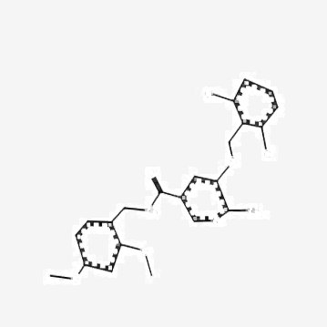 COc1ccc(CNC(=O)c2cnc(N)c(OCc3c(Cl)cccc3Cl)c2)c(OC)c1